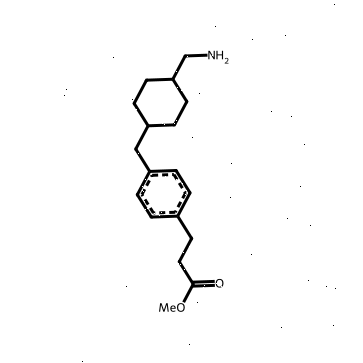 COC(=O)CCc1ccc(CC2CCC(CN)CC2)cc1